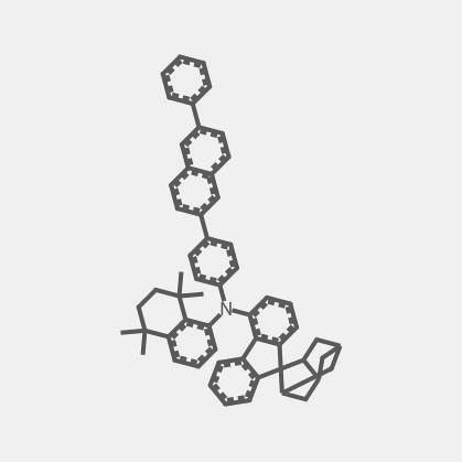 CC1(C)CCC(C)(C)c2c(N(c3ccc(-c4ccc5cc(-c6ccccc6)ccc5c4)cc3)c3cccc4c3-c3ccccc3C43C4CC5CC(C4)C3C5)cccc21